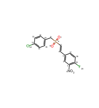 O=[N+]([O-])c1cc(C=CS(=O)(=O)Cc2ccc(Cl)cc2)ccc1F